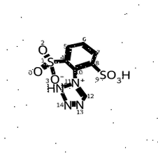 O=S(=O)([O-])c1cccc(S(=O)(=O)O)c1-[n+]1cnn[nH]1